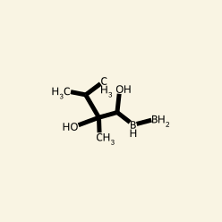 BBC(O)C(C)(O)C(C)C